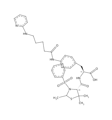 CC1SC(C)(C)[C@@H](C(=O)N[C@@H](Cc2ccc(NC(=O)CCCCNc3ccccn3)cc2)C(=O)O)N1S(=O)(=O)c1ccccc1